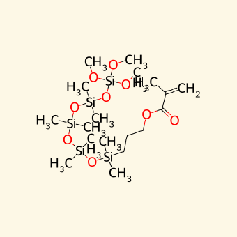 C=C(C)C(=O)OCCC[Si](C)(C)O[Si](C)(C)O[Si](C)(C)O[Si](C)(C)O[Si](OC)(OC)OC